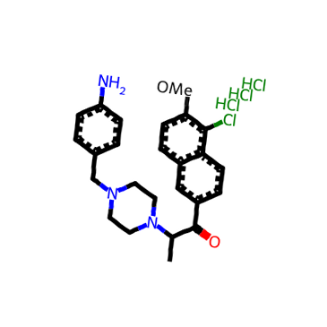 COc1ccc2cc(C(=O)C(C)N3CCN(Cc4ccc(N)cc4)CC3)ccc2c1Cl.Cl.Cl.Cl